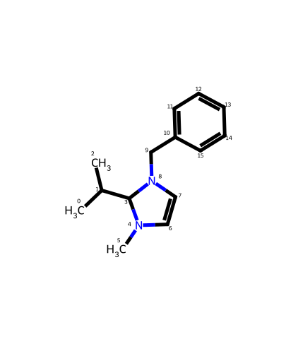 CC(C)C1N(C)C=CN1Cc1ccccc1